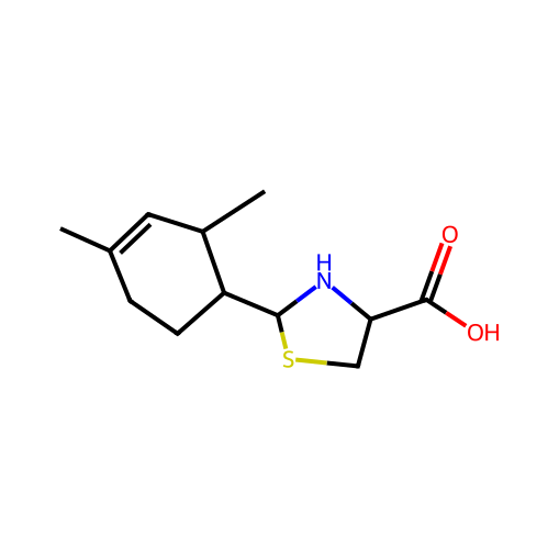 CC1=CC(C)C(C2NC(C(=O)O)CS2)CC1